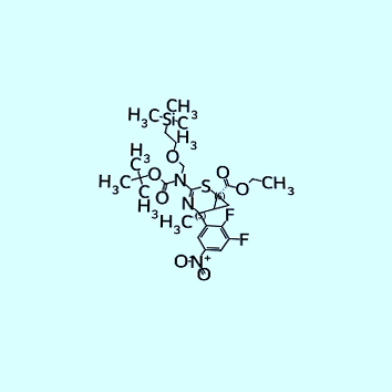 CCOC(=O)[C@]12CC1[C@@](C)(c1cc([N+](=O)[O-])cc(F)c1F)N=C(N(COCC[Si](C)(C)C)C(=O)OC(C)(C)C)S2